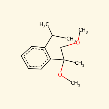 COCC(C)(OC)c1ccccc1C(C)C